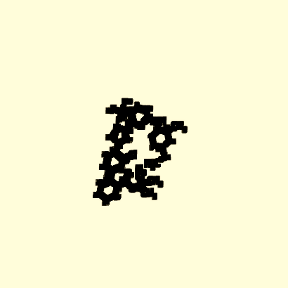 CSN1CCC(Nc2ncc(C(F)(F)F)c(-c3cn(-c4ccc(C5=CCCCN5C(=O)OC(C)(C)C)cc4Cl)cn3)n2)C(C)C1